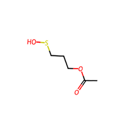 CC(=O)OCCCSO